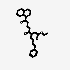 CCOC(=O)CN(CCCCc1ccccc1)C(=O)CCCC(=O)N1CCCC2CCCCC21